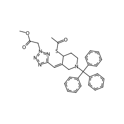 COC(=O)Cn1nnc(C=C2CN(C(c3ccccc3)(c3ccccc3)c3ccccc3)CCC2SC(C)=O)n1